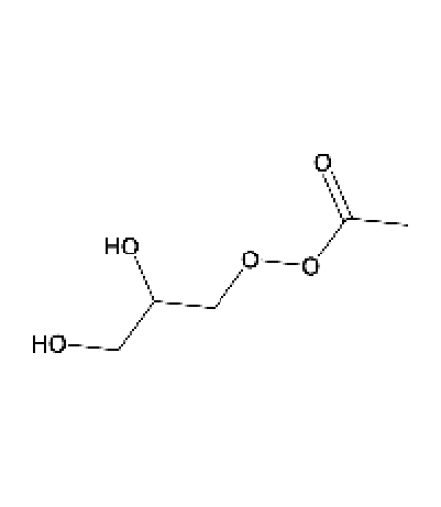 CC(=O)OOCC(O)CO